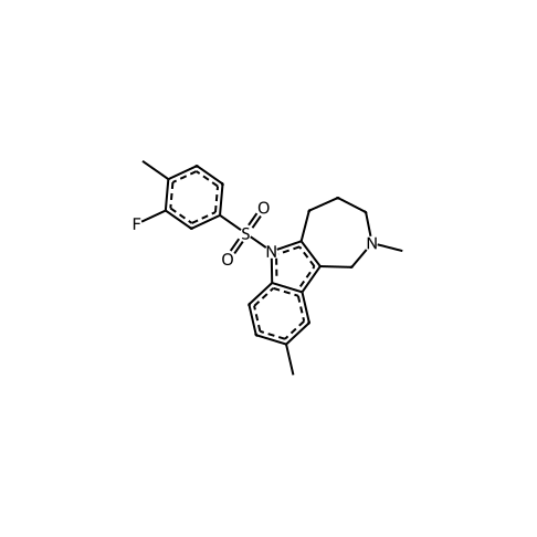 Cc1ccc2c(c1)c1c(n2S(=O)(=O)c2ccc(C)c(F)c2)CCCN(C)C1